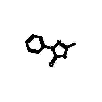 Cc1nn(-c2ccccc2)c(=O)s1